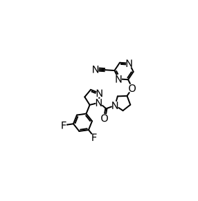 N#Cc1cncc(OC2CCN(C(=O)N3N=CCC3c3cc(F)cc(F)c3)C2)n1